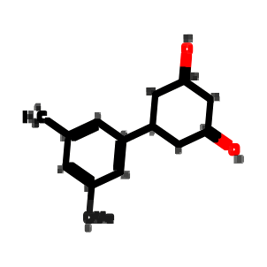 COc1cc(C)cc(C2CC(=O)CC(=O)C2)c1